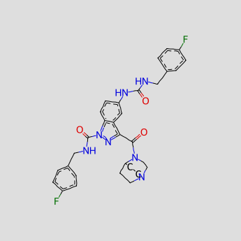 O=C(NCc1ccc(F)cc1)Nc1ccc2c(c1)c(C(=O)N1CCN3CCC1CC3)nn2C(=O)NCc1ccc(F)cc1